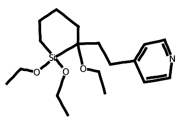 CCOC1(CCc2ccncc2)CCCC[Si]1(OCC)OCC